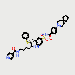 O=C(NCCCC[C@H](CSc1ccccc1)Nc1ccc(S(=O)(=O)NC(=O)c2ccc(N3CCC4(CCCC4)CC3)cc2)cc1[N+](=O)[O-])c1ccncc1